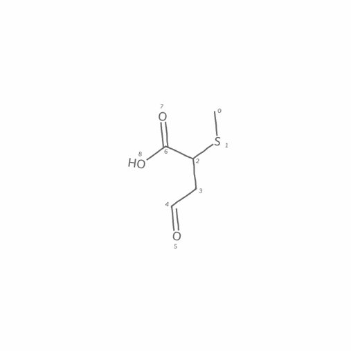 CSC(CC=O)C(=O)O